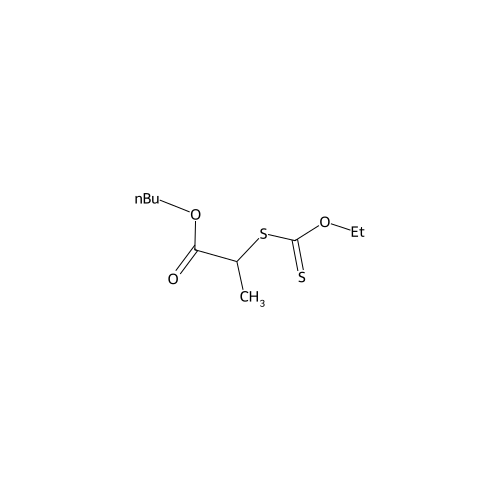 CCCCOC(=O)C(C)SC(=S)OCC